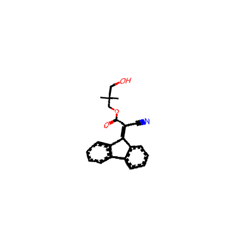 CC(C)(CO)COC(=O)C(C#N)=C1c2ccccc2-c2ccccc21